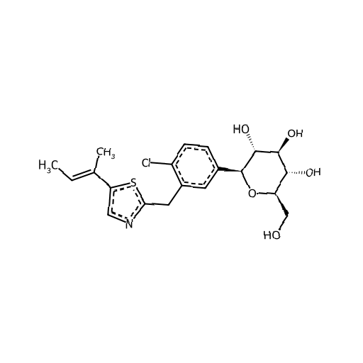 CC=C(C)c1cnc(Cc2cc([C@@H]3O[C@H](CO)[C@@H](O)[C@H](O)[C@H]3O)ccc2Cl)s1